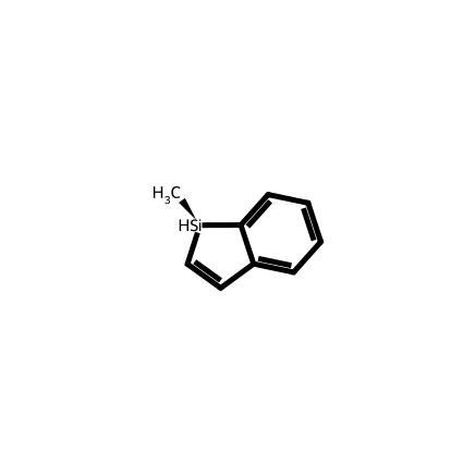 C[Si@@H]1C=Cc2ccccc21